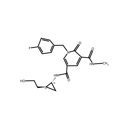 CNC(=O)c1cc(C(=O)N[C@@H]2C[C@H]2CCO)cn(Cc2ccc(F)cc2)c1=O